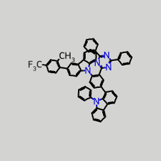 Cc1cc(C(F)(F)F)ccc1-c1ccc2c(c1)c1ccccc1n2-c1ccc(-c2cccc3c4ccccc4n(-c4ccccc4)c23)cc1-c1nc(-c2ccccc2)nc(-c2ccccc2)n1